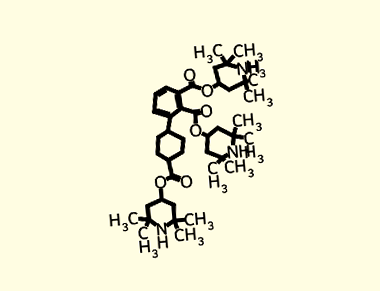 CC1(C)CC(OC(=O)c2cccc(C3CCC(C(=O)OC4CC(C)(C)NC(C)(C)C4)CC3)c2C(=O)OC2CC(C)(C)NC(C)(C)C2)CC(C)(C)N1